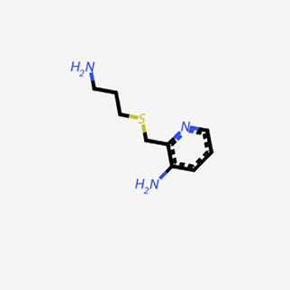 NCCCSCc1ncccc1N